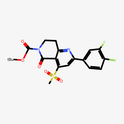 CC(C)(C)OC(=O)N1CCc2nc(-c3ccc(F)c(F)c3)cc(S(C)(=O)=O)c2C1=O